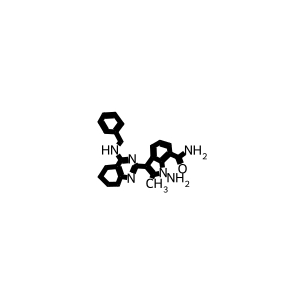 Cc1c(-c2nc3c(c(NCc4ccccc4)n2)CCCC3)c2cccc(C(N)=O)c2n1N